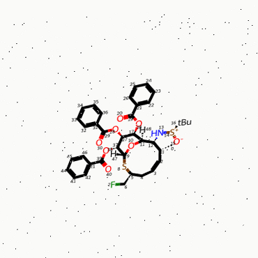 C[C@@H]1C=CC[C@@H](CF)S[C@H]2O[C@H]([C@@H]1N[S@+]([O-])C(C)(C)C)[C@H](OC(=O)c1ccccc1)[C@H](OC(=O)c1ccccc1)[C@H]2OC(=O)c1ccccc1